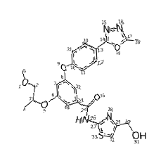 COCC(C)Oc1cc(Oc2ccc(-c3nnc(C)o3)cc2)cc(C(=O)Nc2nc(CO)cs2)c1